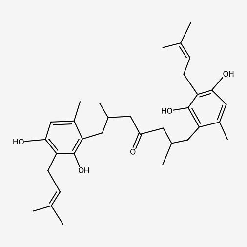 CC(C)=CCc1c(O)cc(C)c(CC(C)CC(=O)CC(C)Cc2c(C)cc(O)c(CC=C(C)C)c2O)c1O